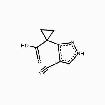 N#Cc1c[nH]nc1C1(C(=O)O)CC1